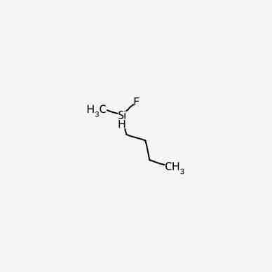 CCCC[SiH](C)F